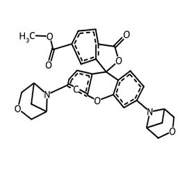 COC(=O)c1ccc2c(c1)C1(OC2=O)c2ccc(N3C4COCC3C4)cc2Oc2cc(N3C4COCC3C4)ccc21